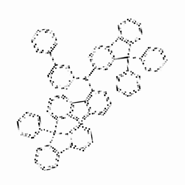 c1ccc(-c2cccc(N(c3ccc4c(c3)C(c3ccccc3)(c3ccccc3)c3ccccc3-4)c3cccc4oc5c(C6(c7ccccc7)c7ccccc7-c7ccccc76)cccc5c34)c2)cc1